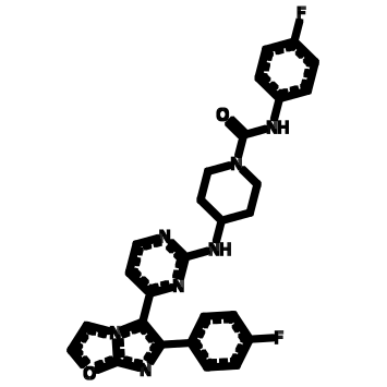 O=C(Nc1ccc(F)cc1)N1CCC(Nc2nccc(-c3c(-c4ccc(F)cc4)nc4occn34)n2)CC1